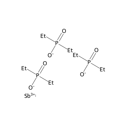 CCP(=O)([O-])CC.CCP(=O)([O-])CC.CCP(=O)([O-])CC.[Sb+3]